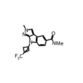 CNC(=O)c1ccc2c(c1)c1cn(C)nc1n2C12CC(C(F)(F)F)(C1)C2